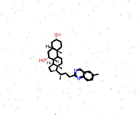 Cc1ccc2nc(CC[C@@H](C)[C@H]3CC[C@H]4[C@H]5C(CC[C@]34C)[C@@]3(C)CC[C@@H](O)C[C@H]3C[C@H]5O)ncc2c1